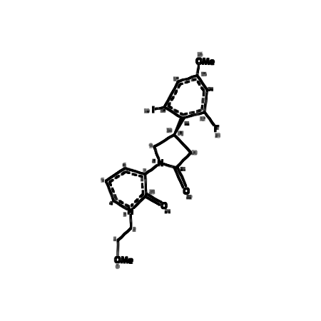 COCCn1cccc(N2C[C@@H](c3c(F)cc(OC)cc3I)CC2=O)c1=O